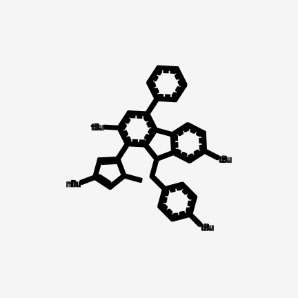 CCCCC1=CC(C)C(c2c(C(C)(C)C)cc(-c3ccccc3)c3c2C(Cc2ccc(C(C)(C)C)cc2)c2cc(C(C)(C)C)ccc2-3)=C1